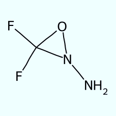 NN1OC1(F)F